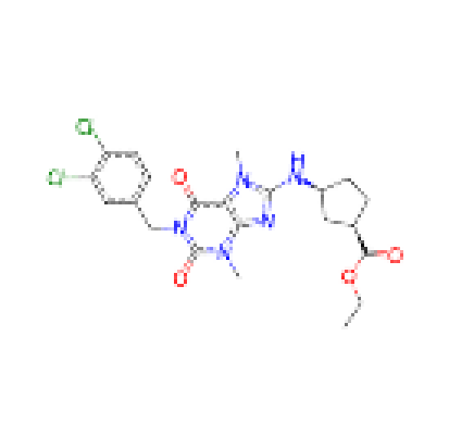 CCOC(=O)[C@@H]1CC[C@H](Nc2nc3c(c(=O)n(Cc4ccc(Cl)c(Cl)c4)c(=O)n3C)n2C)C1